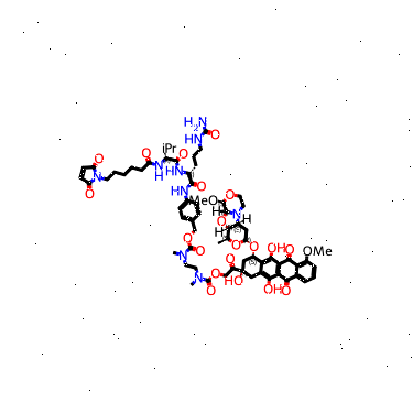 COc1cccc2c1C(=O)c1c(O)c3c(c(O)c1C2=O)C[C@@](O)(C(=O)COC(=O)N(C)CCN(C)C(=O)OCc1ccc(NC(=O)[C@@H](CCCNC(N)=O)NC(=O)[C@H](NC(=O)CCCCCN2C(=O)C=CC2=O)C(C)C)cc1)C[C@@H]3O[C@H]1C[C@H]2[C@H](O[C@@H]3[C@@H](OC)OCCN32)[C@H](C)O1